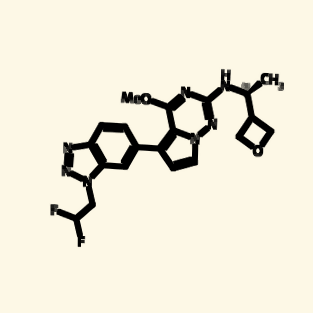 COc1nc(N[C@@H](C)C2COC2)nn2ccc(-c3ccc4nnn(CC(F)F)c4c3)c12